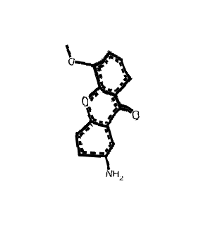 COc1cccc2c(=O)c3cc(N)ccc3oc12